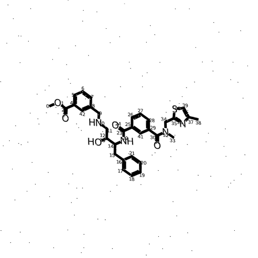 COC(=O)c1cccc(CNCC(O)C(Cc2ccccc2)NC(=O)c2cccc(C(=O)N(C)Cc3nc(C)cs3)c2)c1